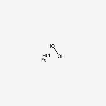 Cl.OO.[Fe]